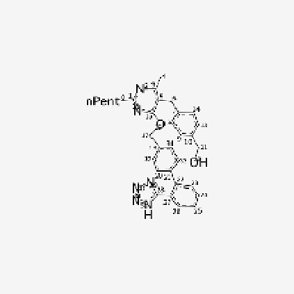 CCCCCc1nc(C)c(Cc2ccc(CO)cc2)c(OCc2ccc(-c3ccccc3-c3nnn[nH]3)cc2)n1